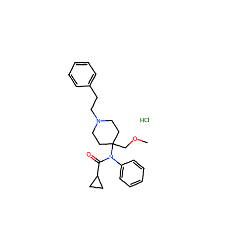 COCC1(N(C(=O)C2CC2)c2ccccc2)CCN(CCc2ccccc2)CC1.Cl